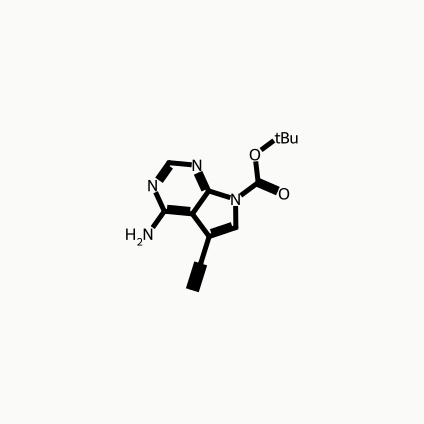 C#Cc1cn(C(=O)OC(C)(C)C)c2ncnc(N)c12